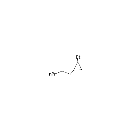 CCCCCC1CC1CC